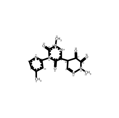 Cc1ccnc(-n2c(=O)c(C3C=NN(C)C(=O)C3=O)nn(C)c2=O)c1